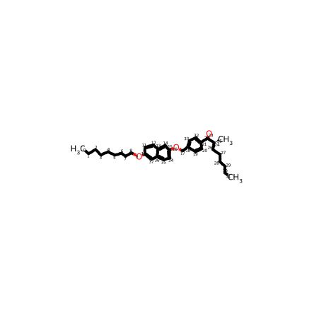 CCCCCCCCCOc1ccc2cc(OCc3ccc(C(=O)[C@H](C)CCCCCC)cc3)ccc2c1